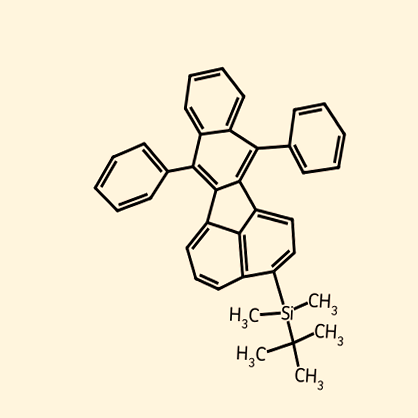 CC(C)(C)[Si](C)(C)c1ccc2c3c(cccc13)-c1c-2c(-c2ccccc2)c2ccccc2c1-c1ccccc1